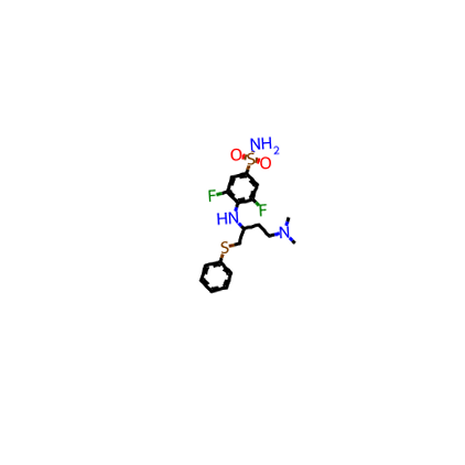 CN(C)CCC(CSc1ccccc1)Nc1c(F)cc(S(N)(=O)=O)cc1F